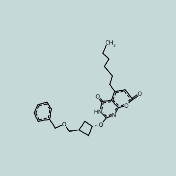 CCCCCCc1cc(=O)oc2nc(O[C@H]3C[C@H](COCc4ccccc4)C3)[nH]c(=O)c12